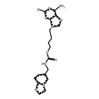 Nc1nc(Cl)nc2c1ncn2CCCCOC(=O)NCc1ccc2nccn2c1